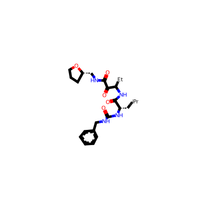 CCC(NC(=O)[C@H](CC(C)C)NC(=O)NCc1ccccc1)C(=O)C(=O)NC[C@@H]1CCCO1